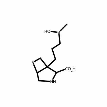 CB(O)CCCC12CSC1CNC2C(=O)O